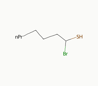 CCCCCCC(S)Br